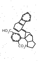 O=C(O)c1ccc(C(=O)O)c(C23CC(CC2=C2C=CCC4=C2c2ccccc24)C2CCCC23)c1